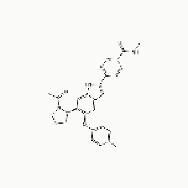 CNC(=O)c1ccc(-c2cc3cc(Oc4ccc(C)nc4)c([C@H]4CCCN4C(C)=O)cc3[nH]2)nc1